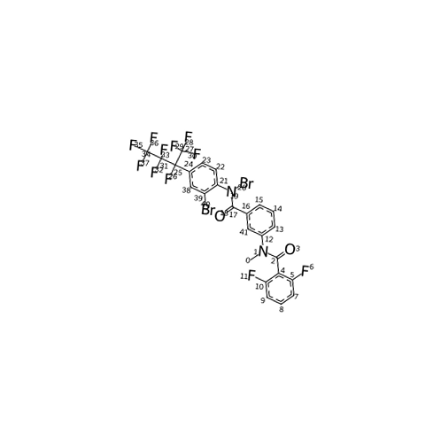 CN(C(=O)c1c(F)cccc1F)c1cccc(C(=O)N(Br)c2ccc(C(F)(C(F)(F)F)C(F)(F)C(F)(F)F)cc2Br)c1